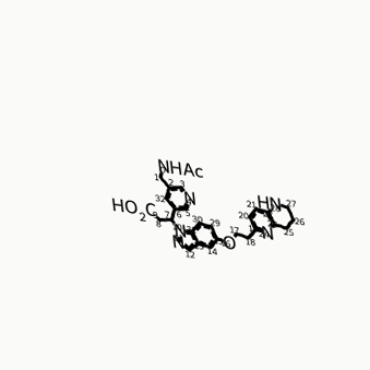 CC(=O)NCc1cncc(C(CC(=O)O)n2ncc3cc(OCCc4ccc5c(n4)CCCN5)ccc32)c1